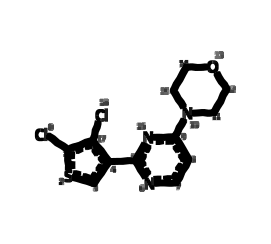 Clc1scc(-c2nccc(N3CCOCC3)n2)c1Cl